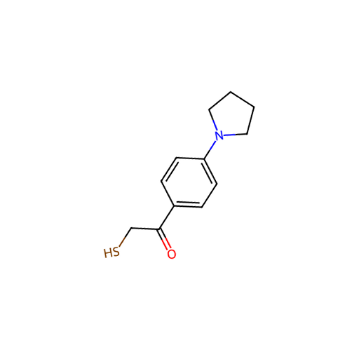 O=C(CS)c1ccc(N2CCCC2)cc1